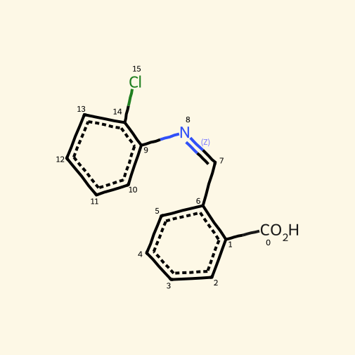 O=C(O)c1ccccc1/C=N\c1ccccc1Cl